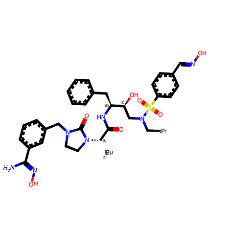 CC[C@H](C)[C@@H](C(=O)N[C@@H](Cc1ccccc1)[C@@H](O)CN(CC(C)C)S(=O)(=O)c1ccc(C=NO)cc1)N1CCN(Cc2cccc(C(N)=NO)c2)C1=O